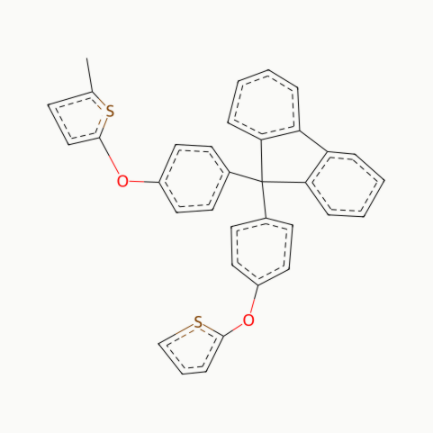 Cc1ccc(Oc2ccc(C3(c4ccc(Oc5cccs5)cc4)c4ccccc4-c4ccccc43)cc2)s1